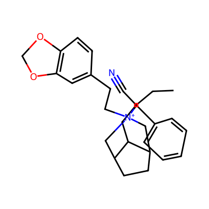 CCC(C#N)(CC1C2CCC1C[N+](C)(CCc1ccc3c(c1)OCO3)C2)c1ccccc1